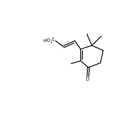 CC1=C(/C=C/C(=O)O)C(C)(C)CCC1=O